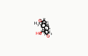 C[C@]12C(CO)CC(=O)CC1CC[C@@H]1[C@@H]2CC[C@]2(C)C(=O)CC[C@@H]12